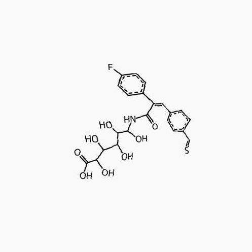 O=C(NC(O)C(O)C(O)C(O)C(O)C(=O)O)/C(=C\c1ccc(C=S)cc1)c1ccc(F)cc1